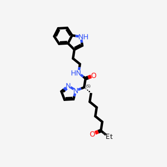 CCC(=O)CCCCC[C@@H](C(=O)NCCc1c[nH]c2ccccc12)n1cccn1